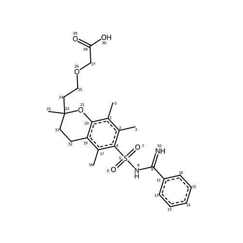 Cc1c(C)c(S(=O)(=O)NC(=N)c2ccccc2)c(C)c2c1OC(C)(CCOCC(=O)O)CC2